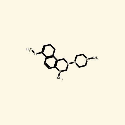 COC1=CCCc2c1ccc1c2CN(N2CCN(C)CC2)CN1N